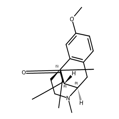 COc1ccc2c(c1)[C@]13CCN(C)[C@H](C2)[C@@H]1C(C)C(C)C(=O)C3